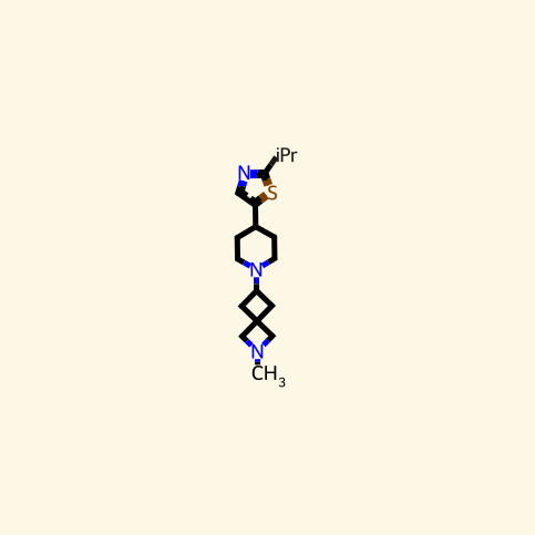 CC(C)c1ncc(C2CCN(C3CC4(C3)CN(C)C4)CC2)s1